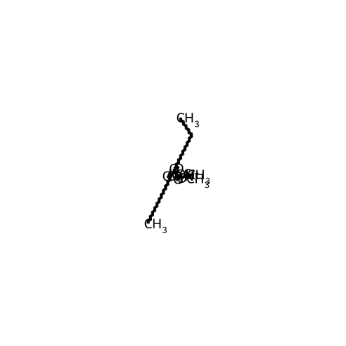 CCCCCCCC/C=C\CCCCCCCCCCCCCC(=O)O[C@H](COC(=O)CCCCCCCCCCCCCCCCCCCCC)COP(=O)(O)OCC[N+](C)(C)C